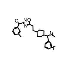 Cc1cccc(C(=O)c2noc(CCC3CCC(C(c4cccc(F)c4)N(C)C)CC3)n2)c1